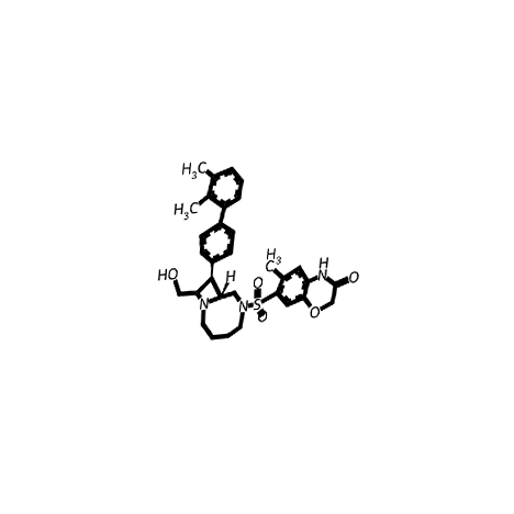 Cc1cc2c(cc1S(=O)(=O)N1CCCCN3C(CO)[C@@H](c4ccc(-c5cccc(C)c5C)cc4)[C@@H]3C1)OCC(=O)N2